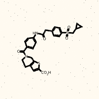 O=C(Cc1ccc(S(=O)(=O)CC2CC2)cc1)Nc1ccc(C(=O)N2CCc3cc(C(=O)O)sc3C2)cc1